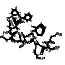 Cc1ccccc1C[C@H](NC(=O)[C@H](CCC(=O)O)NC(=O)[C@H](CC(=O)O)NC(=O)CCC(=O)O)C(=O)N[C@H](C(=O)N[C@@H](CC(C)C)C(=O)NC(CC(F)(F)F)C(=O)C(=O)NC(c1ccccc1)c1ccccc1)C(C)(C)C